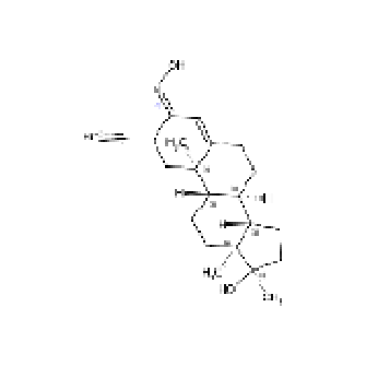 C#CC1C[C@@]2(C)C(=C/C1=N\O)CC[C@@H]1[C@@H]2CC[C@@]2(C)[C@H]1CC[C@@]2(C)O